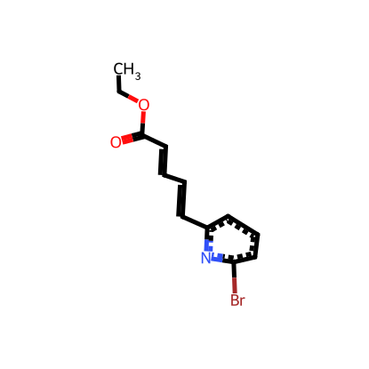 CCOC(=O)C=CC=Cc1cccc(Br)n1